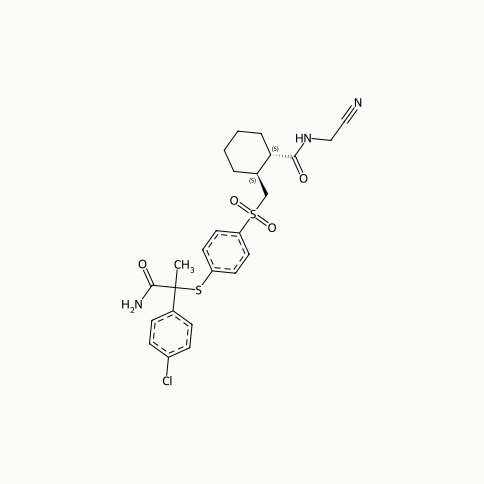 CC(Sc1ccc(S(=O)(=O)C[C@H]2CCCC[C@@H]2C(=O)NCC#N)cc1)(C(N)=O)c1ccc(Cl)cc1